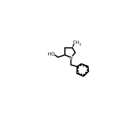 C[C@@H]1CC(CO)N(Cc2ccccc2)C1